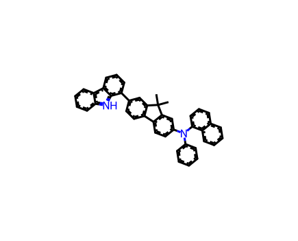 CC1(C)c2cc(-c3cccc4c3[nH]c3ccccc34)ccc2-c2ccc(N(c3ccccc3)c3cccc4ccccc34)cc21